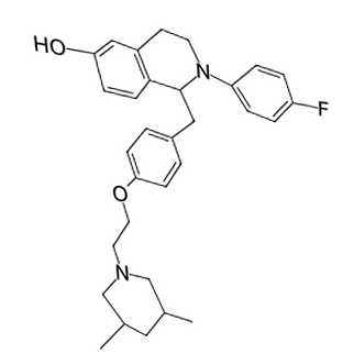 CC1CC(C)CN(CCOc2ccc(CC3c4ccc(O)cc4CCN3c3ccc(F)cc3)cc2)C1